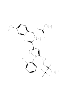 COc1ccc([C@H](CC(=O)O)NC(=O)c2cc(OC[C@](C)(O)C(C)(C)C)n(-c3ccccc3F)n2)cc1